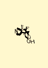 O=C(O)C[C@@H](c1ccncc1)C1(C(F)(F)F)CC1